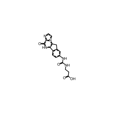 O=C(O)CCNC(=O)Nc1ccc2c(c1)Cc1c-2[nH]c(=O)c2nccn12